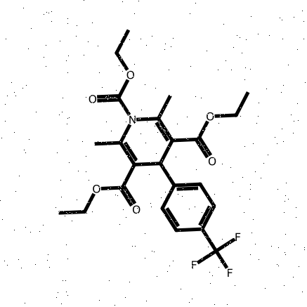 CCOC(=O)C1=C(C)N(C(=O)OCC)C(C)=C(C(=O)OCC)C1c1ccc(C(F)(F)F)cc1